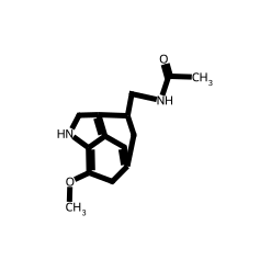 COC1=C2NCC3=C2C=C(C1)CC3CNC(C)=O